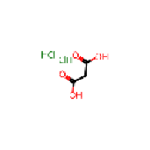 Cl.Cl.O=C(O)CC(=O)O